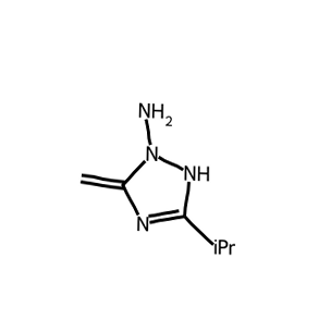 C=C1N=C(C(C)C)NN1N